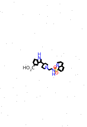 O=C(O)c1ccc2[nH]cc(C3CCN(CCNS(=O)(=O)c4cccc5cccnc45)CC3)c2c1